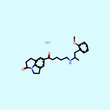 COc1ccccc1CC(C)NCCCCC(=O)c1cc2c3c(c1)CCN3C(=O)CC2.Cl